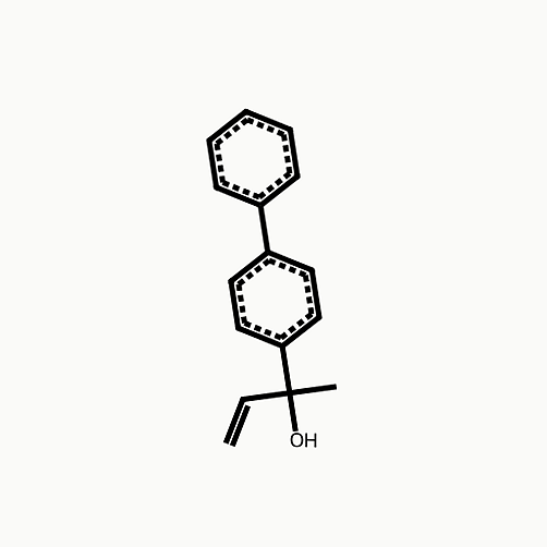 C=CC(C)(O)c1ccc(-c2ccccc2)cc1